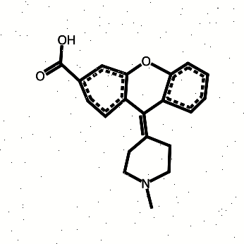 CN1CCC(=C2c3ccccc3Oc3cc(C(=O)O)ccc32)CC1